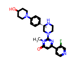 Cn1c(N2CCN[C@@H](c3ccc(N4CCC(O)CC4)cc3)C2)nc(-c2ccncc2F)cc1=O